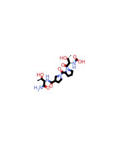 C[C@@H](O)[C@H](NC(=O)C1CCN(C(=O)C2CCCN2C(=O)[C@@H](NC(=O)O)[C@@H](C)O)C1)C(N)=O